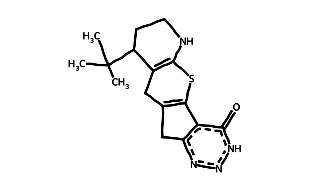 CC(C)(C)C1CCNC2=C1CC1=C(S2)c2c(nn[nH]c2=O)C1